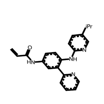 C=CC(=O)Nc1ccc(Nc2ccc(C(C)C)cn2)c(-c2ccccn2)c1